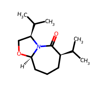 CC(C)[C@H]1CCC[C@H]2OC[C@@H](C(C)C)N2C1=O